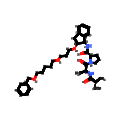 CN[C@@H](C)C(=O)NC(C)C(=O)N1CCC[C@H]1C(=O)N[C@H]1c2ccccc2C[C@H]1OCCCOCCCCCOCc1ccccc1